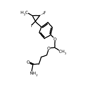 CC(OCCCC(N)=O)Oc1ccc(C2(I)C(C)[C@@H]2F)cc1